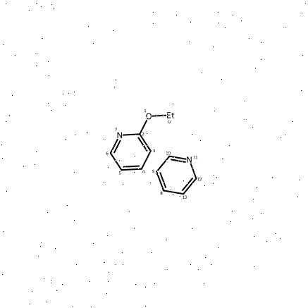 CCOc1ccccn1.c1ccncc1